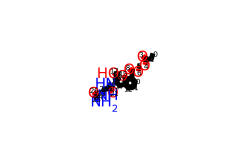 CCC(=O)OCOC(=O)c1cccc2c1OB(O)C(NC(=O)CNC(N)=O)C2